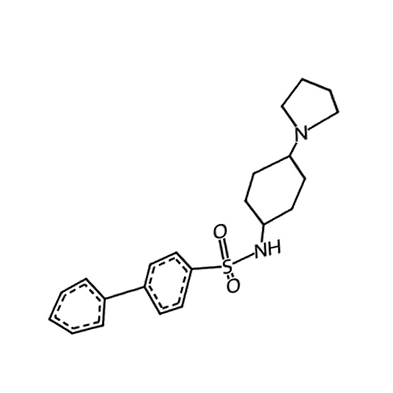 O=S(=O)(NC1CCC(N2CCCC2)CC1)c1ccc(-c2ccccc2)cc1